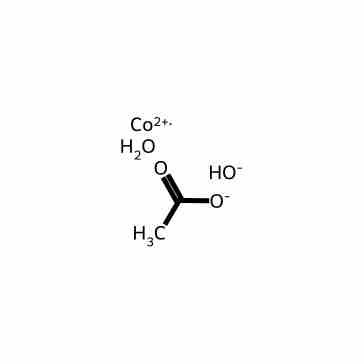 CC(=O)[O-].O.[Co+2].[OH-]